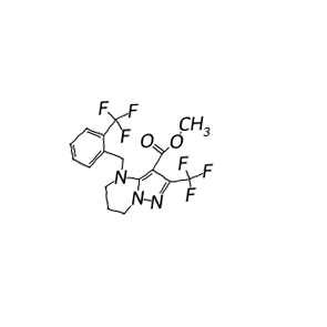 COC(=O)c1c(C(F)(F)F)nn2c1N(Cc1ccccc1C(F)(F)F)CCC2